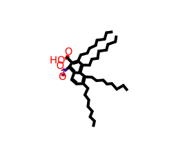 CCCCCCCCc1ccc2c(I(=O)=O)c(C(=O)O)c(CCCCCCCC)c(CCCCCCCC)c2c1CCCCCCCC